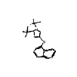 CC(C)(C)C1CC(Oc2cccc3ccccc23)CN1C(C)(C)C